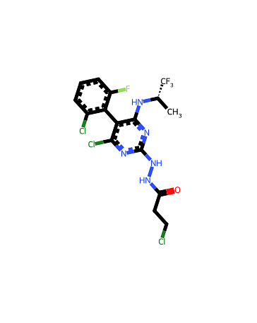 C[C@H](Nc1nc(NNC(=O)CCCl)nc(Cl)c1-c1c(F)cccc1Cl)C(F)(F)F